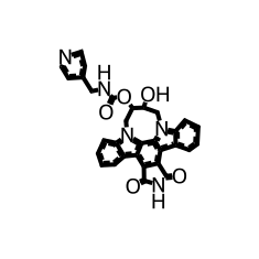 O=C(NCc1ccncc1)OC1Cn2c3ccccc3c3c4c(c5c6ccccc6n(c5c32)CC1O)C(=O)NC4=O